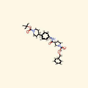 CC(C)(C)OC(=O)N1CCC(c2ccc(NC(=O)C3CCN(C(=O)OCc4ccccc4)C3)cc2)CC1